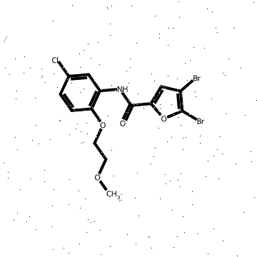 COCCOc1ccc(Cl)cc1NC(=O)c1cc(Br)c(Br)o1